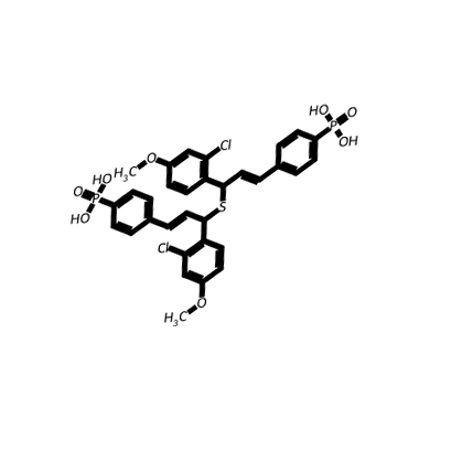 COc1ccc(C(C=Cc2ccc(P(=O)(O)O)cc2)SC(C=Cc2ccc(P(=O)(O)O)cc2)c2ccc(OC)cc2Cl)c(Cl)c1